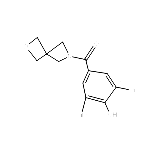 CC(C)c1cc(C(=O)N2CC3(COC3)C2)cc(C(C)C)c1O